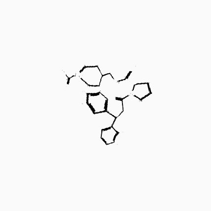 N=C(N)N1CCC(CNC(=O)[C@@H]2CCCN2C(=O)CC(c2ccccc2)c2ccccc2)CC1